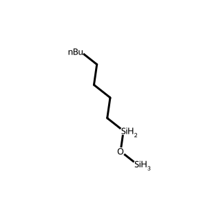 CCCCCCCC[SiH2]O[SiH3]